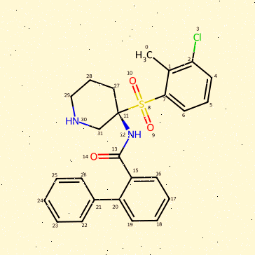 Cc1c(Cl)cccc1S(=O)(=O)[C@@]1(NC(=O)c2ccccc2-c2ccccc2)CCCNC1